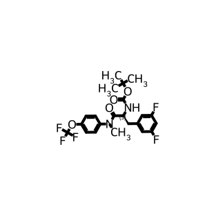 CN(C(=O)[C@H](Cc1cc(F)cc(F)c1)NC(=O)OC(C)(C)C)c1ccc(OC(F)(F)F)cc1